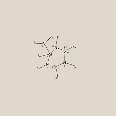 CN1[SiH](C)N(C)[Si](C)(N(C)C)N(C)[SiH]1C